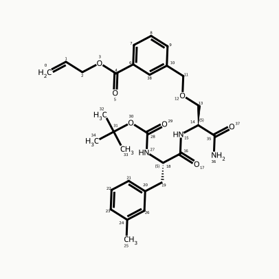 C=CCOC(=O)c1cccc(COC[C@H](NC(=O)[C@H](Cc2cccc(C)c2)NC(=O)OC(C)(C)C)C(N)=O)c1